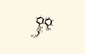 C=C[SiH3].Oc1ccccc1.Oc1ccccc1